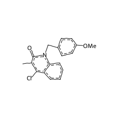 COc1ccc(Cn2c(=O)c(C)c(Cl)c3ccccc32)cc1